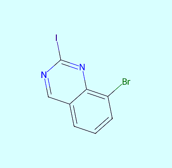 Brc1cccc2cnc(I)nc12